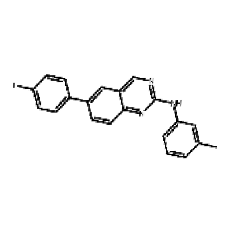 Cc1cccc(Nc2ncc3cc(-c4ccc(F)cc4)ccc3n2)c1